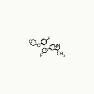 Cc1cnn2ccc(N3CC(F)C[C@@H]3c3cc(F)ccc3OC3CCOCC3)cc12